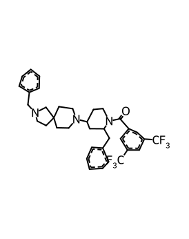 O=C(c1cc(C(F)(F)F)cc(C(F)(F)F)c1)N1CCC(N2CCC3(CCN(Cc4ccccc4)C3)CC2)CC1Cc1ccccc1